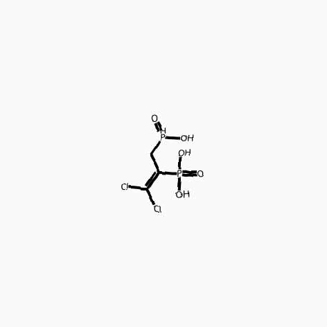 O=[PH](O)CC(=C(Cl)Cl)P(=O)(O)O